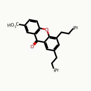 CC(C)CCc1cc(CCC(C)C)c2oc3ccc(C(=O)O)cc3c(=O)c2c1